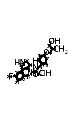 CC(CO)COc1ccc(CNC(=O)N(Cc2ccc(F)cc2)C2CCNCC2)cc1.Cl